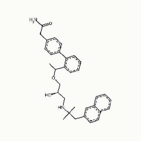 CC(OC[C@H](O)CNC(C)(C)Cc1ccc2ccccc2c1)c1ccccc1-c1ccc(CC(N)=O)cc1